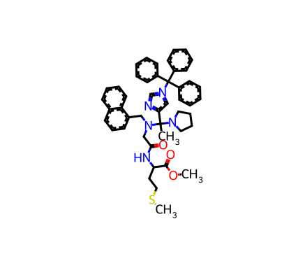 COC(=O)C(CCSC)NC(=O)CN(Cc1cccc2ccccc12)C(C)(c1cn(C(c2ccccc2)(c2ccccc2)c2ccccc2)cn1)N1CCCC1